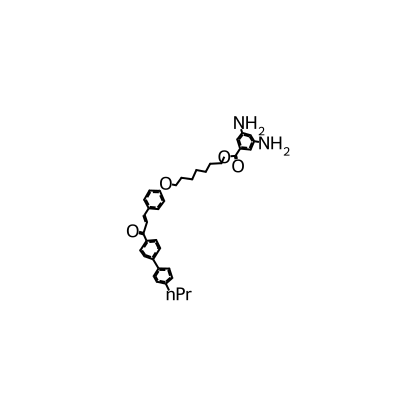 CCCc1ccc(-c2ccc(C(=O)/C=C/c3ccc(OCCCCCCCOC(=O)c4cc(N)cc(N)c4)cc3)cc2)cc1